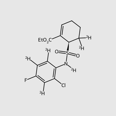 [2H]c1c([2H])c(N([2H])S(=O)(=O)[C@H]2C(C(=O)OCC)=CCCC2([2H])[2H])c(Cl)c([2H])c1F